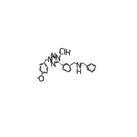 COc1ccc(Cn2nnc(-c3cccc(CNCc4ccccc4)c3)n2)cc1.Cl